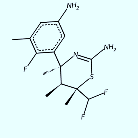 Cc1cc(N)cc([C@@]2(C)N=C(N)S[C@](C)(C(F)F)[C@H]2C)c1F